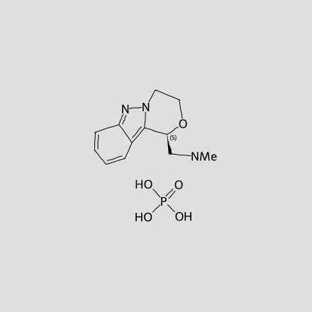 CNC[C@@H]1OCCn2nc3ccccc3c21.O=P(O)(O)O